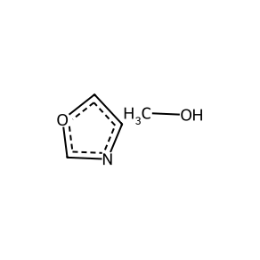 CO.c1cocn1